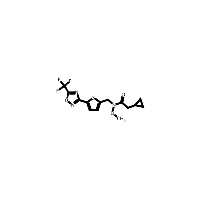 CON(Cc1ccc(-c2noc(C(F)(F)F)n2)s1)C(=O)CC1CC1